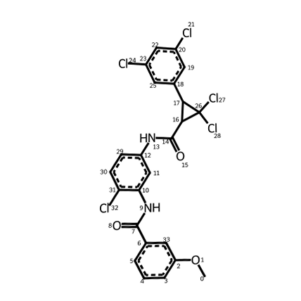 COc1cccc(C(=O)Nc2cc(NC(=O)C3C(c4cc(Cl)cc(Cl)c4)C3(Cl)Cl)ccc2Cl)c1